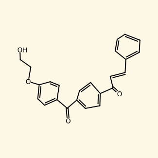 O=C(/C=C/c1ccccc1)c1ccc(C(=O)c2ccc(OCCO)cc2)cc1